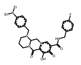 CCN(CC)c1ccc(CN2CCCN3C(=O)c4c(O)c(=O)c(C(=O)NCc5ccc(F)cc5)cn4CC23)cc1